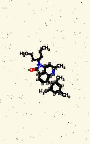 CCCC(CCC)N1C(=O)c2ccc(-c3c(C)cc(C)cc3C)c3nc(C)cc1c23